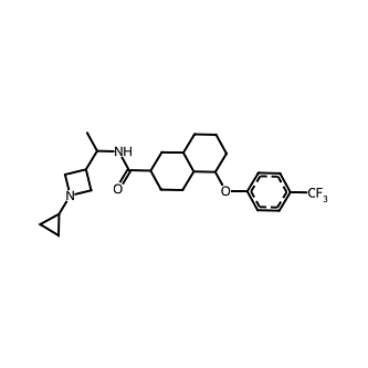 CC(NC(=O)C1CCC2C(CCCC2Oc2ccc(C(F)(F)F)cc2)C1)C1CN(C2CC2)C1